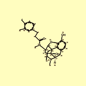 Cc1ccc(CCC(=O)N(C)C2CC(C)[C@@]3(O)[C@H]4Cc5ccc(O)c6c5[C@@]3(CCN4C)C2O6)cc1C